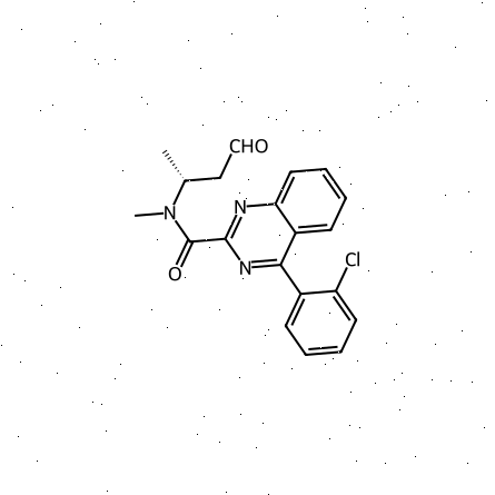 C[C@H](CC=O)N(C)C(=O)c1nc(-c2ccccc2Cl)c2ccccc2n1